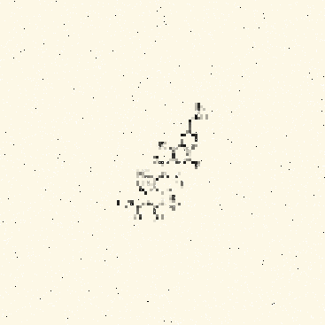 CCNCc1ccc2c(F)c3c(c(O)c2c1)C(=O)C1=C(O)[C@]2(O)C(=O)C(C(N)=O)=C(O)[C@@H](N(C)C)[C@@H]2C[C@@H]1C3